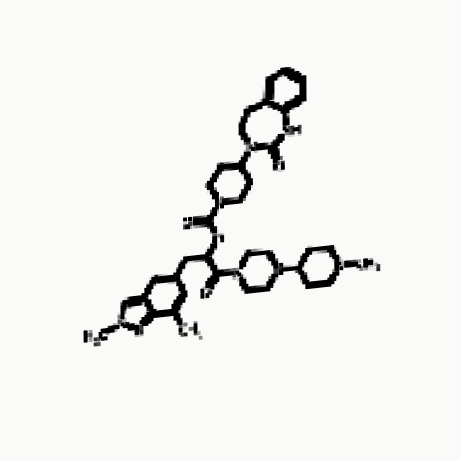 Cc1cc(CC(OC(=O)N2CCC(N3CCc4ccccc4NC3=O)CC2)C(=O)N2CCN(C3CCN(C)CC3)CC2)cc2cn(C)nc12